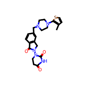 Cc1ccsc1N1CCN(Cc2ccc3c(c2)CN(N2CCC(=O)NC2=O)C3=O)CC1